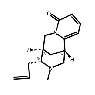 C=CC[C@@H]1[C@@H]2C[C@@H](CN1C)c1cccc(=O)n1C2